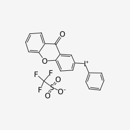 O=S(=O)([O-])C(F)(F)F.O=c1c2ccccc2oc2ccc([I+]c3ccccc3)cc12